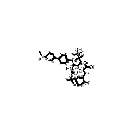 CN(C)c1ccc(-c2ccc(C[C@H](NC(=O)OC(C)(C)C)[C@H](C[C@@H](Cc3ccccc3F)C(=O)O)CC(C)(C)[Si](C)(C)O)cc2)cn1